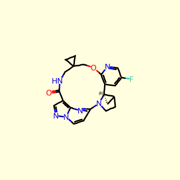 O=C1NCC2(CC2)COc2ncc(F)cc2[C@@]23CC2CCN3c2ccn3ncc1c3n2